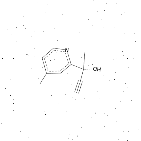 C#CC(C)(O)c1cc(C)ccn1